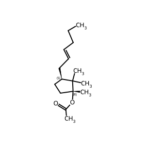 CCCC=CC[C@@H]1CC[C@@](C)(OC(C)=O)C1(C)C